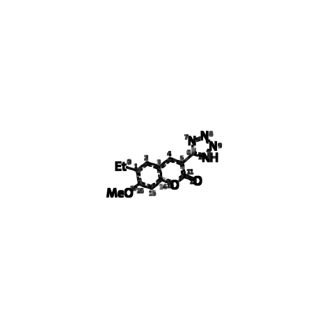 CCc1cc2cc(-c3nnn[nH]3)c(=O)oc2cc1OC